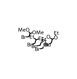 CC(C)(C)CBr.CC(C)CBr.CCC(CC)CBr.CCOC(CBr)OCC.COC(CBr)OC